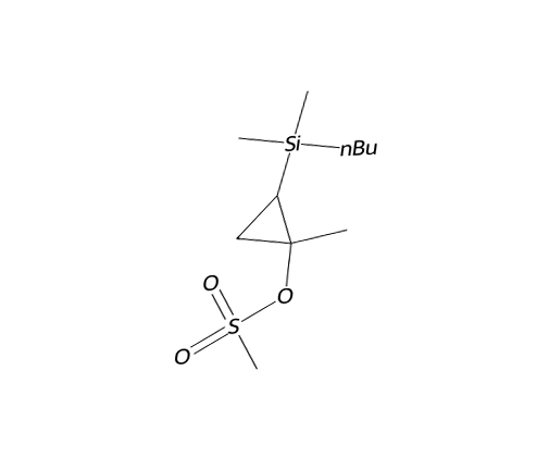 CCCC[Si](C)(C)C1CC1(C)OS(C)(=O)=O